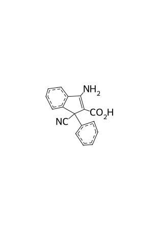 N#CC1(c2ccccc2)C(C(=O)O)=C(N)c2ccccc21